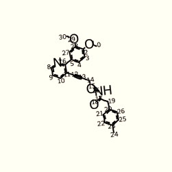 COc1ccc(-c2ncccc2C#CCONC(=O)Cc2ccc(C)cc2)cc1OC